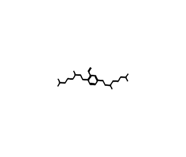 C=Cc1cc(CCC(C)CCCC(C)C)ccc1CCC(C)CCCC(C)C